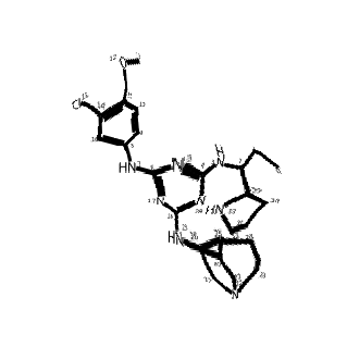 CCC(Nc1nc(Nc2ccc(OC)c(Cl)c2)nc(NC2CN3CCC2CC3)n1)C1CCCN1